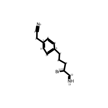 N#CCc1ccc(CCCC(Br)C=N)cc1